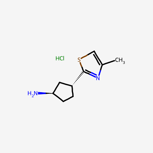 Cc1csc([C@@H]2CC[C@@H](N)C2)n1.Cl